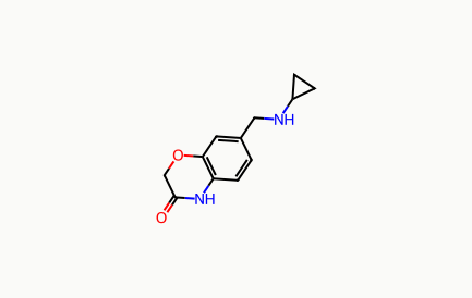 O=C1COc2cc(CNC3CC3)ccc2N1